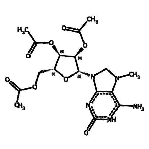 CC(=O)OC[C@H]1O[C@@H](N2CN(C)c3c2nc(=O)[nH]c3N)[C@H](OC(C)=O)[C@@H]1OC(C)=O